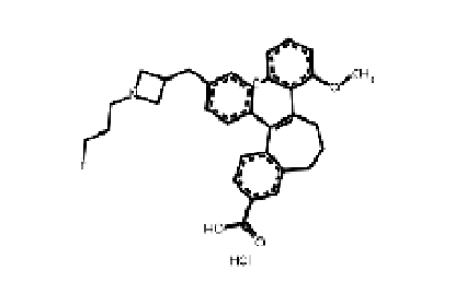 COc1cccc(C)c1C1=C(c2ccc(CC3CN(CCCF)C3)cc2)c2ccc(C(=O)O)cc2CCC1.Cl